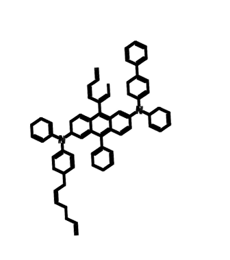 C=C/C=C\C(=C/C)c1c2c(c(C3=CCCC=C3)c3ccc(N(C4=CC=C(c5ccccc5)CC4)C4C=CC=CC4)cc13)=CC(N(C1=CCCC=C1)C1=CCC(C/C=C\CCC=C)C=C1)CC=2